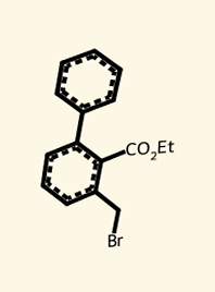 CCOC(=O)c1c(CBr)cccc1-c1ccccc1